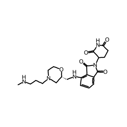 CNCCCN1CCO[C@H](CNc2cccc3c2C(=O)N(C2CCC(=O)NC2=O)C3=O)C1